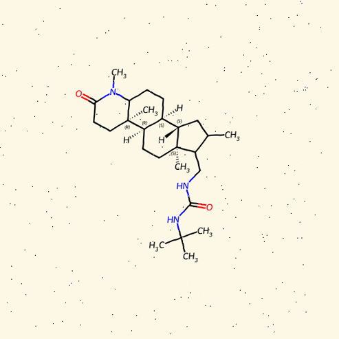 CC1C[C@H]2[C@@H]3CCC4N(C)C(=O)CC[C@]4(C)[C@@H]3CC[C@]2(C)C1CNC(=O)NC(C)(C)C